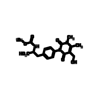 Cc1c(CO)c(=O)n(-c2ccc(CC(NC(=O)OC(C)(C)C)C(=O)O)cc2)c(=O)n1C